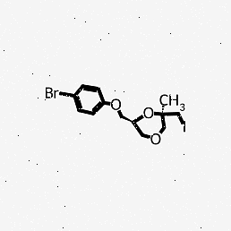 C[C@]1(CI)COC[C@@H](COc2ccc(Br)cc2)O1